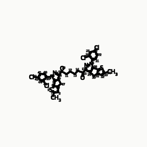 Cc1cc2c(s1)-c1c(c(C(=O)CCCCC(=O)c3nn(-c4ccc(Cl)cc4Cl)c4c3Cc3cc(C)sc3-4)nn1-c1ccc(Cl)cc1Cl)C2